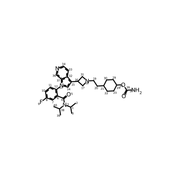 CC(C)N(C(=O)c1cc(F)ccc1-n1cc(C2CN(CCC3CCC(OC(N)=O)CC3)C2)c2ccncc21)C(C)C